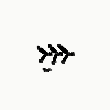 [O]=[GeH][O-].[O]=[GeH][O-].[O]=[GeH][O-].[Tm+3]